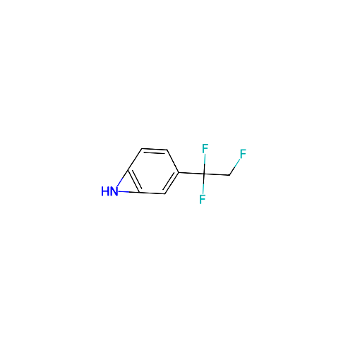 FCC(F)(F)c1ccc2c(c1)N2